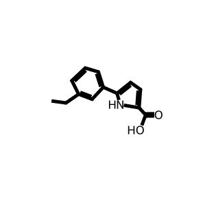 CCc1cccc(-c2ccc(C(=O)O)[nH]2)c1